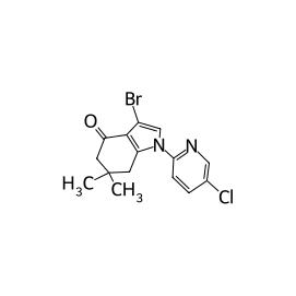 CC1(C)CC(=O)c2c(Br)cn(-c3ccc(Cl)cn3)c2C1